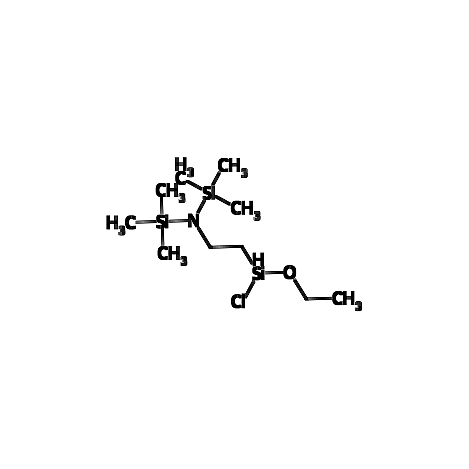 CCO[SiH](Cl)CCN([Si](C)(C)C)[Si](C)(C)C